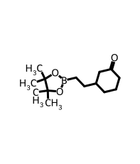 CC1(C)OB(CCC2CCCC(=O)C2)OC1(C)C